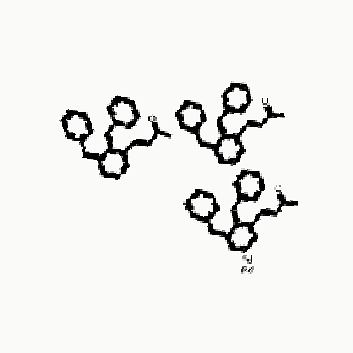 CC(=O)C=Cc1cccc(=Cc2ccccc2)c1=Cc1ccccc1.CC(=O)C=Cc1cccc(=Cc2ccccc2)c1=Cc1ccccc1.CC(=O)C=Cc1cccc(=Cc2ccccc2)c1=Cc1ccccc1.[Pd].[Pd]